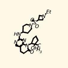 CCN1CC(S(=O)(=O)N2CCC(Nc3ncc4c(n3)N(C3CCCC3(C)O)C(=O)CC4)CC2)C1